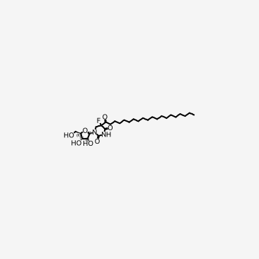 CCCCCCCCCCCCCCCCCCCC(=O)C1(F)CN([C@@H]2O[C@H](CO)[C@@H](O)[C@H]2O)C(=O)NC1=O